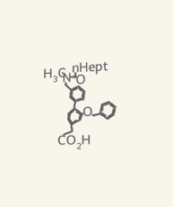 CCCCCCCC(=O)N(C)Cc1cccc(-c2ccc(CCC(=O)O)cc2OCc2ccccc2)c1